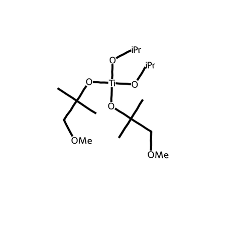 COCC(C)(C)[O][Ti]([O]C(C)C)([O]C(C)C)[O]C(C)(C)COC